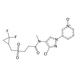 CN(C(=O)CCS(=O)(=O)CC1CC1(F)F)c1cn(-c2ccc[n+]([O-])c2)nc1Cl